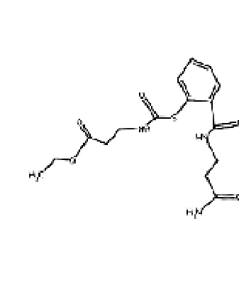 CCOC(=O)CCNC(=O)Sc1ccccc1C(=O)NCCC(N)=O